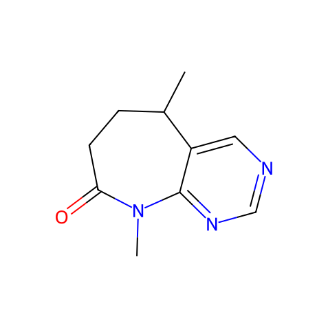 CC1CCC(=O)N(C)c2ncncc21